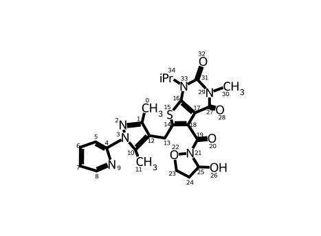 Cc1nn(-c2ccccn2)c(C)c1Cc1sc2c(c1C(=O)N1OCCC1O)c(=O)n(C)c(=O)n2C(C)C